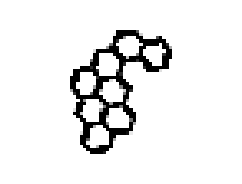 c1ccc2c(c1)ccc1cc3ccc4cc5cccc6ccc7cc(c12)c3c4c7c65